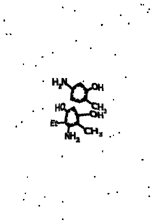 CCc1c(O)cc(O)c(C)c1N.Cc1ccc(N)cc1O